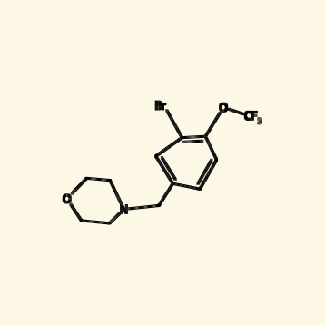 FC(F)(F)Oc1ccc(CN2CCOCC2)cc1Br